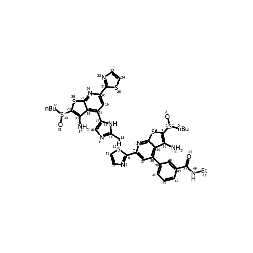 CCCC[S+]([O-])c1sc2nc(C3=NC=C[SH]3Cc3ncc(-c4cc(-c5nccs5)nc5sc([S+]([O-])CCCC)c(N)c45)[nH]3)cc(-c3cccc(C(=O)NCC)c3)c2c1N